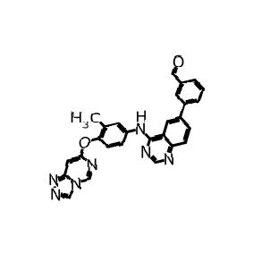 Cc1cc(Nc2ncnc3ccc(-c4cccc(C=O)c4)cc23)ccc1Oc1cc2nncn2cn1